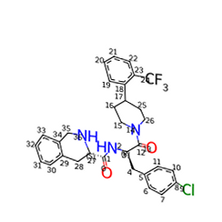 O=C(N[C@H](Cc1ccc(Cl)cc1)C(=O)N1CCC(c2ccccc2C(F)(F)F)CC1)[C@@H]1Cc2ccccc2CN1